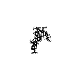 CCC1=C(CN2CC(C(C)(C)CC)C2)NC1C(=N)c1cccc(-c2cccc(-c3cnc(CN4CC(C(C)C)C4)c(CC)n3)c2C)c1Cl